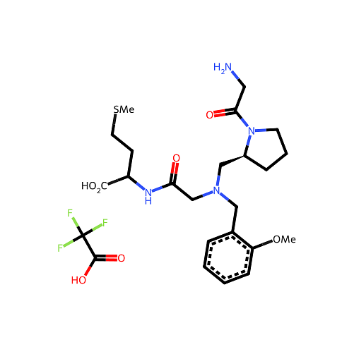 COc1ccccc1CN(CC(=O)NC(CCSC)C(=O)O)C[C@@H]1CCCN1C(=O)CN.O=C(O)C(F)(F)F